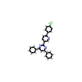 Clc1ccc(-c2ccc(-c3nc(-c4ccccc4)cc(-c4ccccc4)n3)cn2)cc1